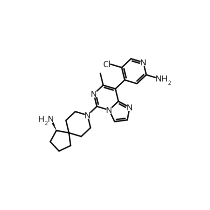 Cc1nc(N2CCC3(CCC[C@H]3N)CC2)n2ccnc2c1-c1cc(N)ncc1Cl